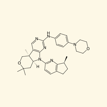 C[C@H]1CCc2ccc(N3c4nc(Nc5ccc(N6CCOCC6)cc5)ncc4[C@]4(C)COC(C)(C)C[C@H]34)nc21